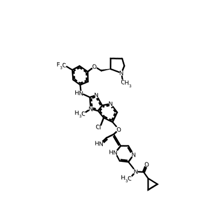 CN(C(=O)C1CC1)C1=CN/C(=C(\C=N)Oc2cnc3nc(Nc4cc(OC[C@H]5CCCN5C)cc(C(F)(F)F)c4)n(C)c3c2Cl)C=N1